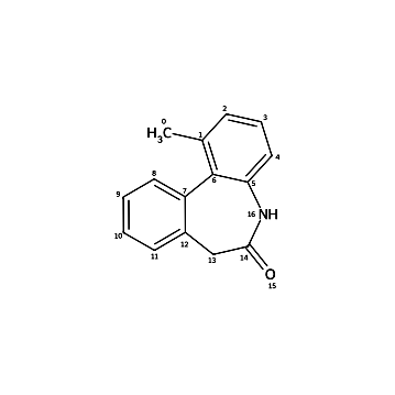 Cc1cccc2c1-c1ccccc1CC(=O)N2